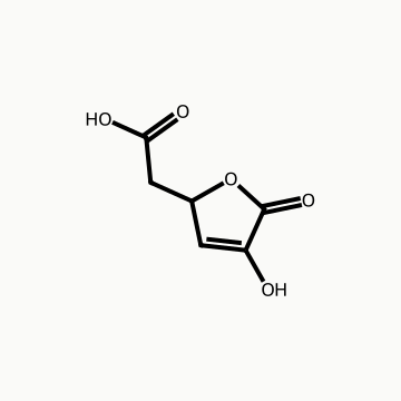 O=C(O)CC1C=C(O)C(=O)O1